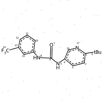 CC(C)(C)c1ccc(NC(=O)Nc2cccc(C(F)(F)F)c2)cn1